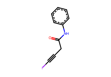 O=C(CC#CI)Nc1ccccc1